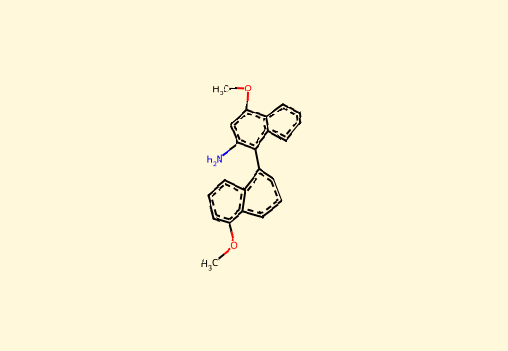 COc1cccc2c(-c3c(N)cc(OC)c4ccccc34)cccc12